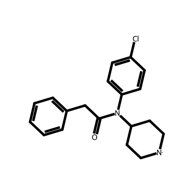 O=C(Cc1ccccc1)N(c1ccc(Cl)cc1)C1CC[N]CC1